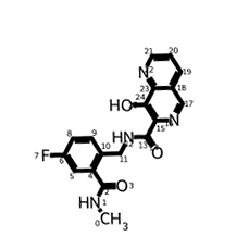 CNC(=O)c1cc(F)ccc1CNC(=O)c1ncc2cccnc2c1O